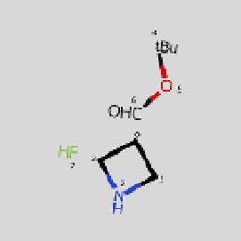 C1CNC1.CC(C)(C)OC=O.F